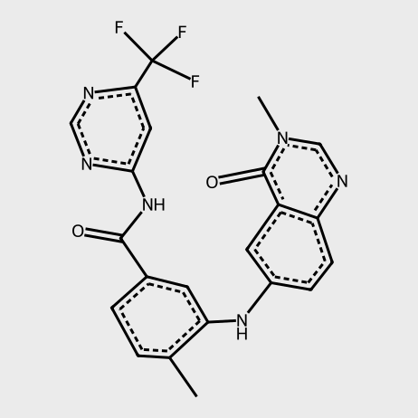 Cc1ccc(C(=O)Nc2cc(C(F)(F)F)ncn2)cc1Nc1ccc2ncn(C)c(=O)c2c1